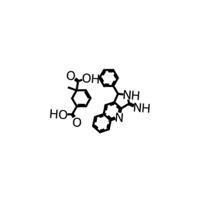 CC1(C(=O)O)C=CC=C(C(=O)O)C1.N=C1NC(c2ccccc2)c2cc3ccccc3nc21